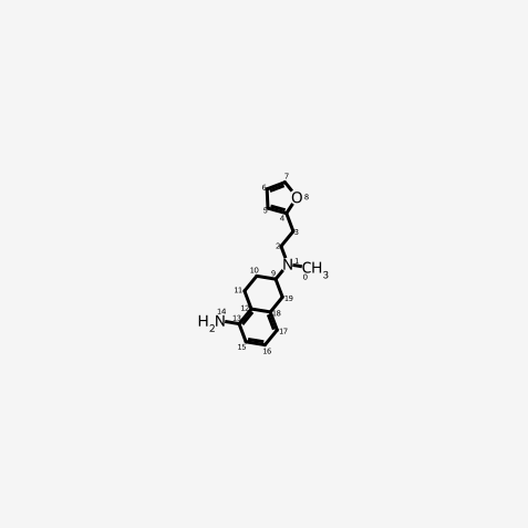 CN(CCc1ccco1)C1CCc2c(N)cccc2C1